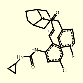 O=C(Nc1cc(Cl)ccc1/C=C/C(=O)N1C2CCC1CN(Cc1ccc(F)cc1)C2)NC1CC1